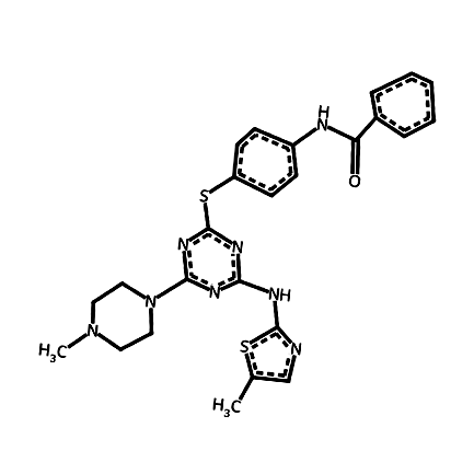 Cc1cnc(Nc2nc(Sc3ccc(NC(=O)c4ccccc4)cc3)nc(N3CCN(C)CC3)n2)s1